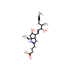 C=CC12CC(O)C(/C=C/C(O)C(C)CC#CC)C1CC(CCCC(=O)S)=N2